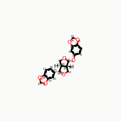 c1cc2c(cc1O[C@H]1OC[C@H]3[C@H]1CO[C@@H]3c1ccc3c(c1)OCO3)OCO2